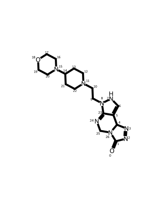 O=C1N=NC2C3=CNN(CCN4CCC(N5CCOCC5)CC4)C3=NCN12